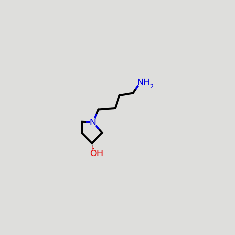 NCCCCN1CC[C@@H](O)C1